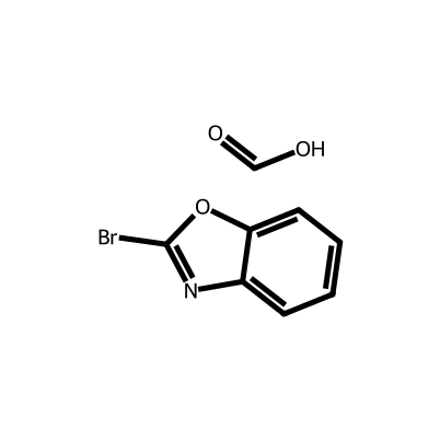 Brc1nc2ccccc2o1.O=CO